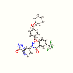 NC(=O)c1cc(NC(=O)c2cc(C(F)(F)F)ccc2Oc2ccc(OC3CCCCC3)cc2)ccn1